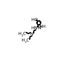 CCCCN(CCCC)CCCNc1n[nH]c2ccc(O)cc12